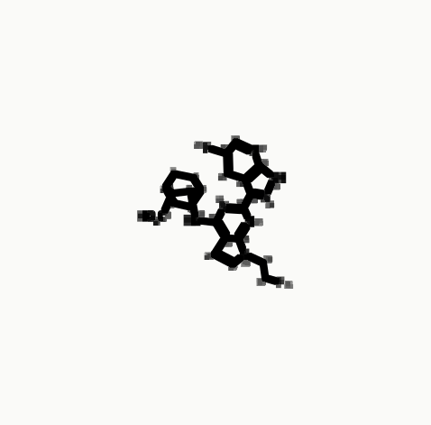 O=C(O)C1C2CCC(CC2)C1Nc1nc(-c2n[nH]c3ncc(F)cc23)nc2c1ccn2CCF